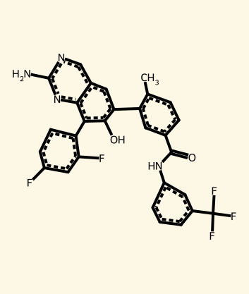 Cc1ccc(C(=O)Nc2cccc(C(F)(F)F)c2)cc1-c1cc2cnc(N)nc2c(-c2ccc(F)cc2F)c1O